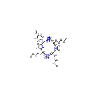 C=Cc1ccc(-c2c3nc(c(CCCCC)c4ccc([nH]4)c(CCCCC)c4nc(c(CCCCC)c5ccc2[nH]5)C=C4)C=C3)cc1